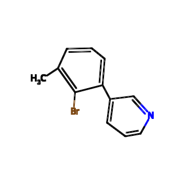 Cc1cccc(-c2cccnc2)c1Br